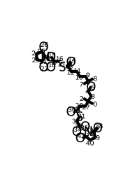 CC(C)(CCOC(C)(C)CCCCC(=O)SCC(=O)ON1C(=O)CCC1=O)CCC(=O)SCC(=O)ON1C(=O)CCC1=O